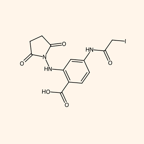 O=C(CI)Nc1ccc(C(=O)O)c(NN2C(=O)CCC2=O)c1